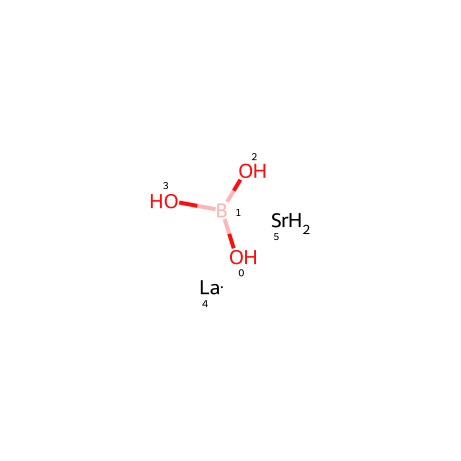 OB(O)O.[La].[SrH2]